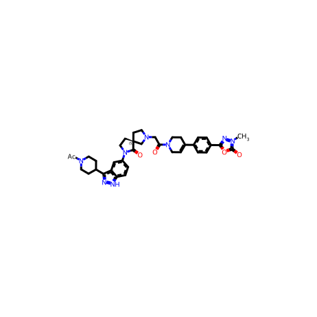 CC(=O)N1CCC(c2n[nH]c3ccc(N4CC[C@]5(CCN(CC(=O)N6CC=C(c7ccc(-c8nn(C)c(=O)o8)cc7)CC6)C5)C4=O)cc23)CC1